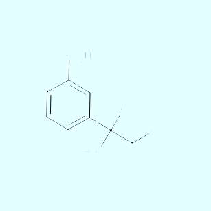 CC(C)(CO)c1cccc(C(=O)O)c1